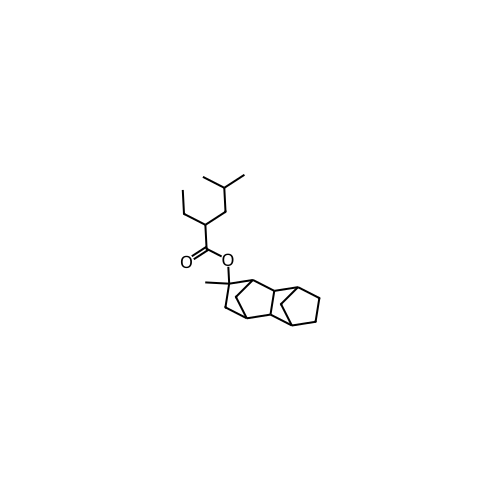 CCC(CC(C)C)C(=O)OC1(C)CC2CC1C1C3CCC(C3)C21